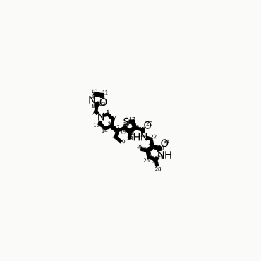 CCC(=C1CCN(Cc2ncco2)CC1)c1scc(C(=O)NCc2c(C)cc(C)[nH]c2=O)c1C